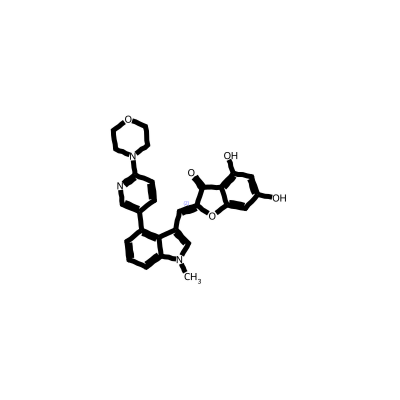 Cn1cc(/C=C2\Oc3cc(O)cc(O)c3C2=O)c2c(-c3ccc(N4CCOCC4)nc3)cccc21